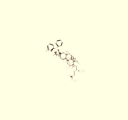 C[C@H](CCC(=O)O)[C@H]1CC[C@H]2[C@@H]3CC[C@@H]4C[C@@](O)(O[Si](c5ccccc5)(c5ccccc5)C(C)(C)C)CC[C@]4(C)[C@H]3CC[C@]12C